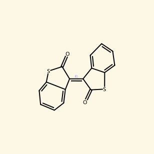 O=C1Sc2ccccc2/C1=C1\C(=O)Sc2ccccc21